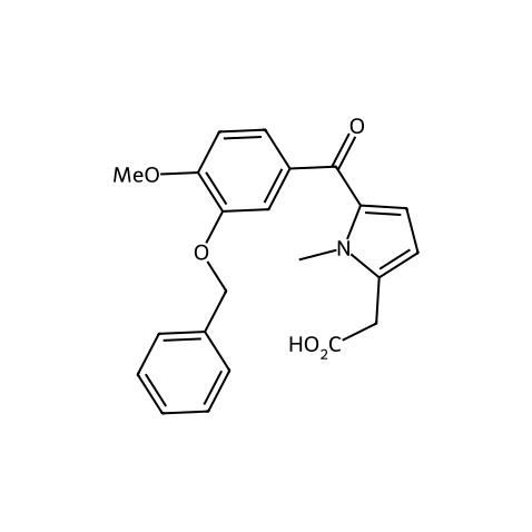 COc1ccc(C(=O)c2ccc(CC(=O)O)n2C)cc1OCc1ccccc1